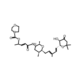 CC(C=C[C@H]1OC(C)(C)CC(=O)[C@@H]1O)=CC[C@@H]1O[C@H](C)[C@H](NC(=O)C=CC(C)OC(=O)N2CCOCC2)C[C@@H]1C